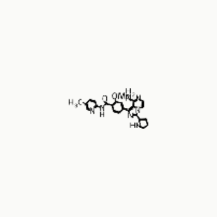 COc1cc(-c2nc(C3CCCN3)n3ccnc(N)c23)ccc1C(=O)Nc1ccc(C)cn1